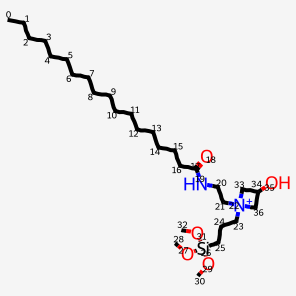 CCCCCCCCCCCCCCCCCC(=O)NCC[N+]1(CCC[Si](OC)(OC)OC)CC(O)C1